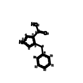 O=S(O)c1c[nH]cc1Cc1ccccc1